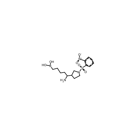 NC(CCCCB(O)O)C1CCN(S(=O)(=O)c2ccccc2[N+](=O)[O-])C1